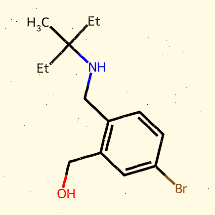 CCC(C)(CC)NCc1ccc(Br)cc1CO